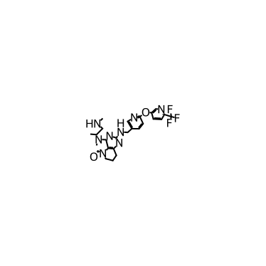 CNCC(C)N(C)c1nc(NCc2ccc(Oc3ccc(C(F)(F)F)nc3)nc2)nc2c1N(C=O)CCC2